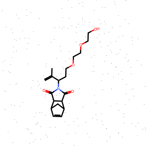 C=C(C)C(CCOCCOCCO)N1C(=O)C2C3C=CC(C3)C2C1=O